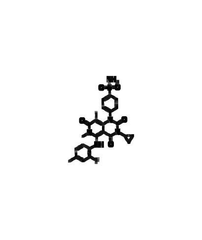 Cc1ccc(Nc2c3c(=O)n(C4CC4)c(=O)n(-c4ccc(S(N)(=O)=O)cc4)c3c(C)c(=O)n2C)c(F)c1